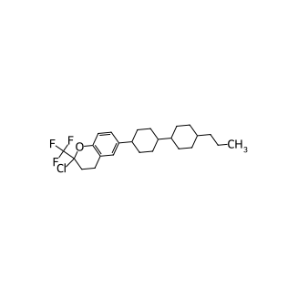 CCCC1CCC(C2CCC(c3ccc4c(c3)CCC(Cl)(C(F)(F)F)O4)CC2)CC1